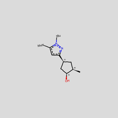 CNc1cc([C@H]2C[C@@H](C)[C@@H](O)C2)nn1C(C)(C)C